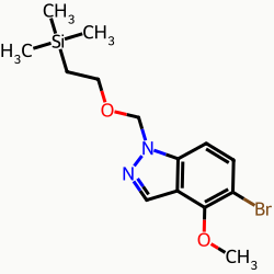 COc1c(Br)ccc2c1cnn2COCC[Si](C)(C)C